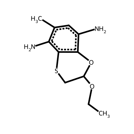 CCOC1CSc2c(N)c(C)cc(N)c2O1